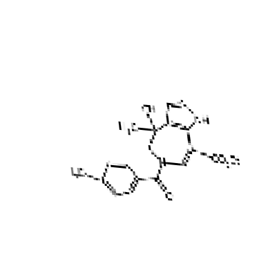 CCOC(=O)C1=CN(C(=O)c2ccc(C)cc2)CC(C)(C)c2cn[nH]c21